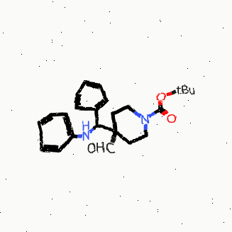 CC(C)(C)OC(=O)N1CCC(C=O)(C(Nc2ccccc2)c2ccccc2)CC1